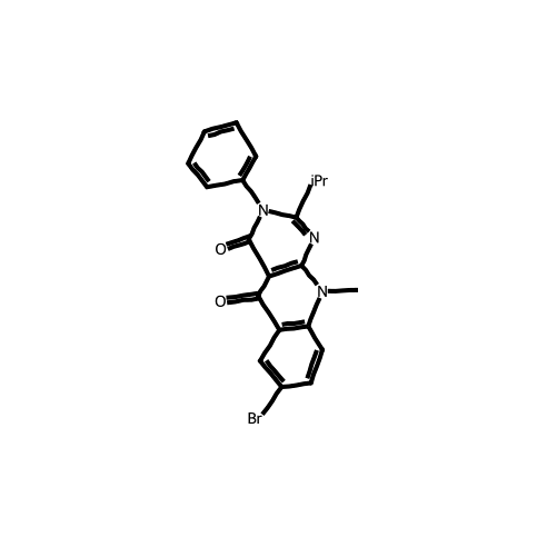 CC(C)c1nc2c(c(=O)c3cc(Br)ccc3n2C)c(=O)n1-c1ccccc1